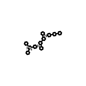 c1ccc(-c2ccc(-c3ccc(-n4c5ccccc5c5cc(-c6ccc7c(c6)c6ccccc6n7-c6ccc(-c7cc(-c8ccccc8)nc(-c8ccccc8)n7)cc6)ccc54)cc3)cc2)cc1